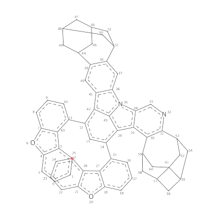 c1ccc2c(c1)oc1cccc(-c3cc(-c4cccc5oc6ccccc6c45)c4c5c6c(ncc5n5c7cc8c(cc7c3c45)C3CC4CC(C3)CC8C4)C3CC4CC5CC6CC45C3)c12